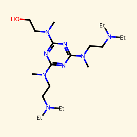 CCN(CC)CCN(C)c1nc(N(C)CCO)nc(N(C)CCN(CC)CC)n1